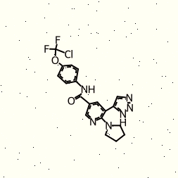 O=C(Nc1ccc(OC(F)(F)Cl)cc1)c1cnc(N2CCCC2)c(-c2cnn[nH]2)c1